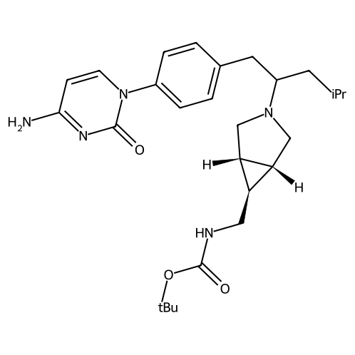 CC(C)CC(Cc1ccc(-n2ccc(N)nc2=O)cc1)N1C[C@@H]2[C@@H](CNC(=O)OC(C)(C)C)[C@@H]2C1